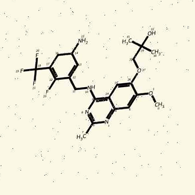 COc1cc2nc(C)nc(NCC3=CC(N)CC(C(F)(F)F)=C3F)c2cc1OCC(C)(C)O